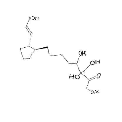 CCCCCCCCC=C[C@H]1CCC[C@@H]1CCCCC(O)C(O)(O)C(=O)COC(C)=O